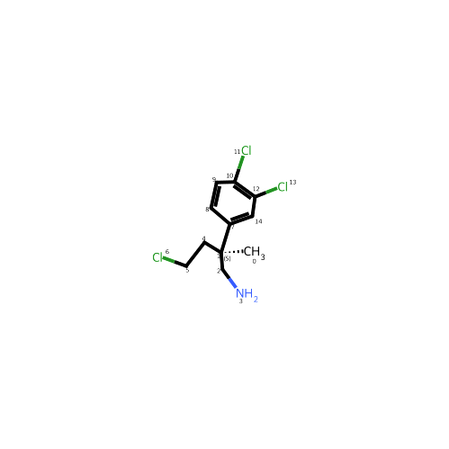 C[C@](CN)(CCCl)c1ccc(Cl)c(Cl)c1